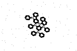 c1ccc(N(c2ccccc2)c2cc3c4c(c2)N(c2ccccc2)c2ccc5ccccc5c2B4c2cc4c5ccccc5n(-c5ccccc5)c4cc2N3c2ccccc2)cc1